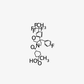 CC(F)(c1ccc2c(c1)OCC1N(C(=O)[C@H]3CC[C@](C)(C(=O)O)CC3)CCC21Cc1ccc(F)cc1)C(F)(F)F